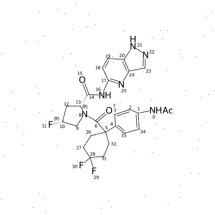 CC(=O)Nc1ccc(C2(C(=O)N3C[C@H](F)C[C@@H]3C(=O)Nc3ccc4[nH]ncc4n3)CCC(F)(F)CC2)cc1